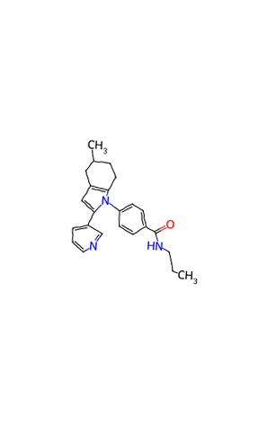 CCCNC(=O)c1ccc(-n2c(-c3cccnc3)cc3c2CCC(C)C3)cc1